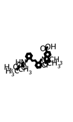 CC(C)(C)OC(=O)NCc1ccccc1CCc1cccc(Cl)c1CN1C(=O)C(C)(C)c2ccc(C(=O)O)cc21